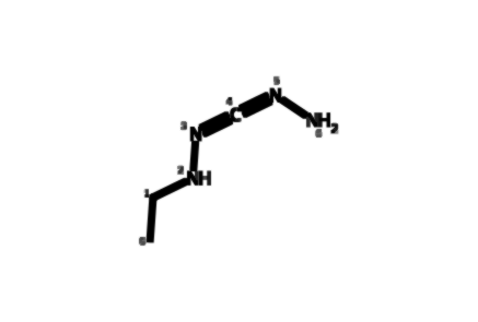 CCNN=C=NN